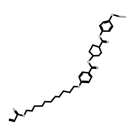 C=CC(=O)OCCCCCCCCCCCOc1ccc(C(=O)OC2CCC(C(=O)Oc3ccc(OCCCCCC)cc3)CC2)cc1